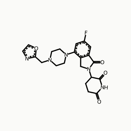 O=C1CCC(N2Cc3c(cc(F)cc3N3CCN(Cc4ncco4)CC3)C2=O)C(=O)N1